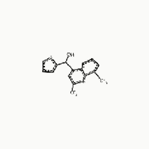 OC(c1cccs1)c1cc(C(F)(F)F)nc2c(C(F)(F)F)cccc12